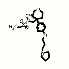 CCS(=O)(=O)N(C)CC1(c2ccc(OCCCN3CCCC3)cc2)CCOCC1